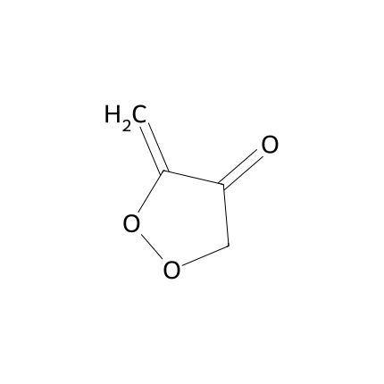 C=C1OOCC1=O